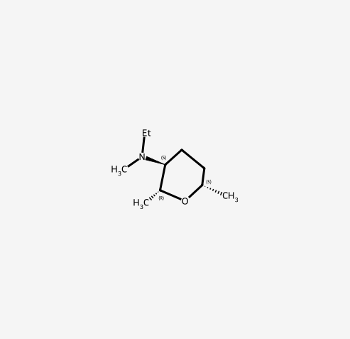 CCN(C)[C@H]1CC[C@H](C)O[C@@H]1C